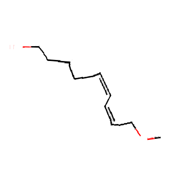 COC/C=C\C=C/CCCCO